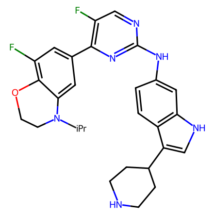 CC(C)N1CCOc2c(F)cc(-c3nc(Nc4ccc5c(C6CCNCC6)c[nH]c5c4)ncc3F)cc21